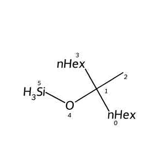 CCCCCCC(C)(CCCCCC)O[SiH3]